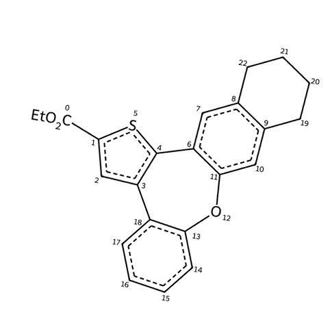 CCOC(=O)c1cc2c(s1)-c1cc3c(cc1Oc1ccccc1-2)CCCC3